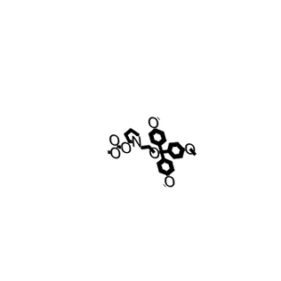 COC(=O)O[C@H]1CCCN1CCOC(c1ccc(OC)cc1)(c1ccc(OC)cc1)c1ccc(OC)cc1